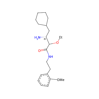 CCOC(C(=O)NCCc1ccccc1OC)[C@H](N)CC1CCCCC1